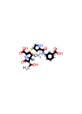 CC(O)[C@H]1C(=O)N2C(C(=O)O)=C(S[C@@H]3CNC(C(=O)Nc4cccc(C(=O)O)c4)C3)[C@H](C)[C@H]12